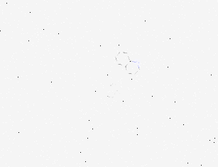 CC(C(=O)O)C1=C[C@H]2C[C@@H](c3ccnc4ccc(F)cc34)C[C@H]2C1